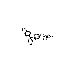 OBOc1ccc2c(c1)-c1cc(Cl)ccc1C21CCCC1